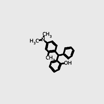 Cc1cc(N(C)C)ccc1C(c1ccccc1)c1ccccc1O